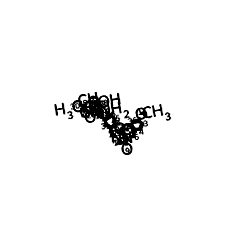 COc1ccc(CN2C(=O)CN(Cc3cccc(C[C@](N)(C(=O)O)C(=O)OC(C)(C)C)c3)S2(=O)=O)cc1